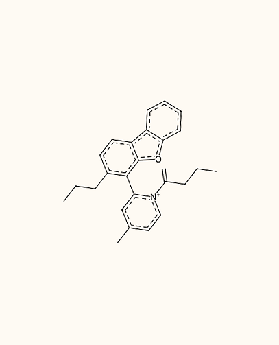 C=C(CCC)[n+]1ccc(C)cc1-c1c(CCC)ccc2c1oc1ccccc12